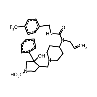 C=CCN(C(=O)NCc1ccc(C(F)(F)F)cc1)C1CCN(CC2CN(C(=O)O)CC2(O)c2ccccc2)CC1